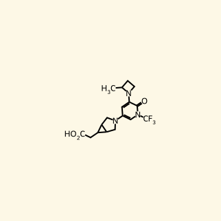 CC1CCN1c1cc(N2CC3C(CC(=O)O)C3C2)cn(C(F)(F)F)c1=O